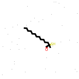 CCCCCCCCCCCCC(C)(S)[C]=O